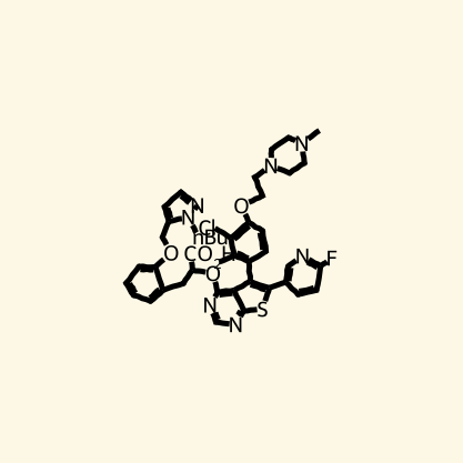 CCCCn1nccc1COc1ccccc1CC(Oc1ncnc2sc(-c3ccc(F)nc3)c(-c3ccc(OCCN4CCN(C)CC4)c(Cl)c3C)c12)C(=O)O